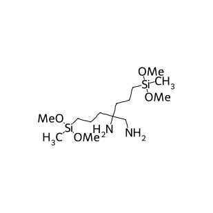 CO[Si](C)(CCCC(N)(CN)CCC[Si](C)(OC)OC)OC